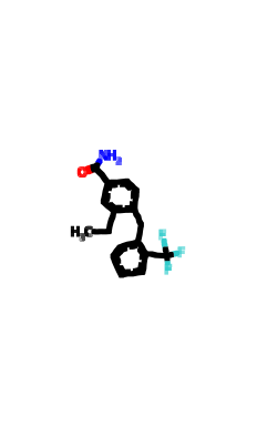 CCc1cc(C(N)=O)ccc1Cc1ccccc1C(F)(F)F